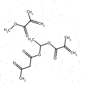 C=C(C)C(=O)OC.C=C(C)C(=O)OC(C)OC(=O)CC(C)=O